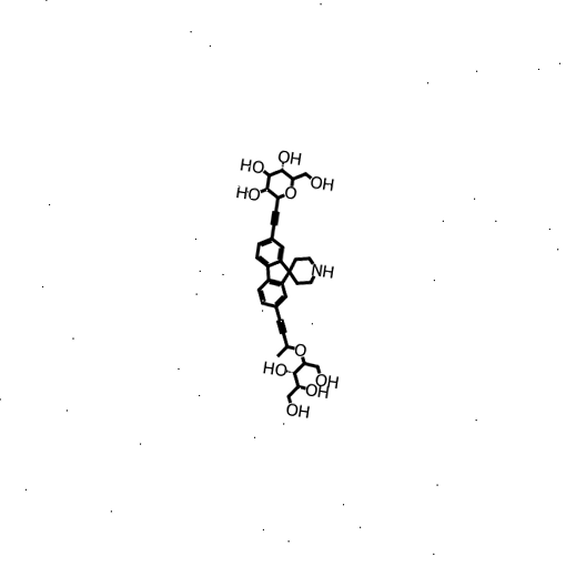 CC(C#Cc1ccc2c(c1)C1(CCNCC1)c1cc(C#CC3OC(CO)[C@@H](O)C(O)C3O)ccc1-2)OC(CO)[C@@H](O)C(O)CO